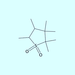 CC1C(C)S(=O)(=O)C(C)(C)C1(C)C